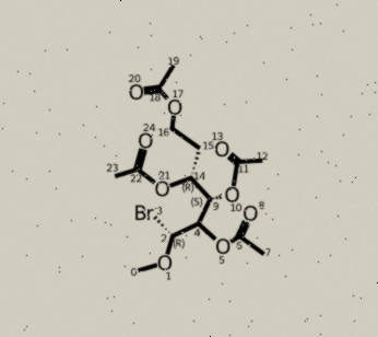 CO[C@H](Br)C(OC(C)=O)[C@@H](OC(C)=O)[C@@H](CCOC(C)=O)OC(C)=O